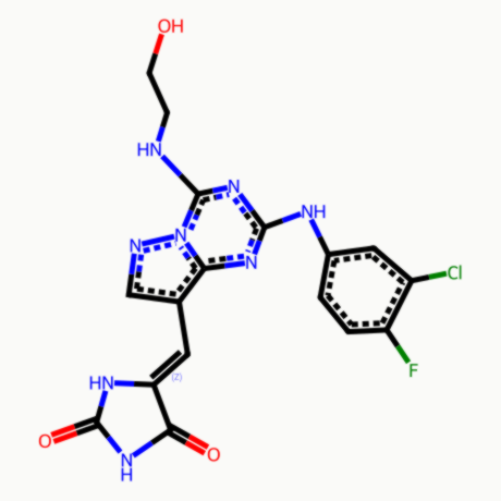 O=C1NC(=O)/C(=C/c2cnn3c(NCCO)nc(Nc4ccc(F)c(Cl)c4)nc23)N1